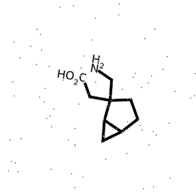 NCC1(CC(=O)O)CCC2CC21